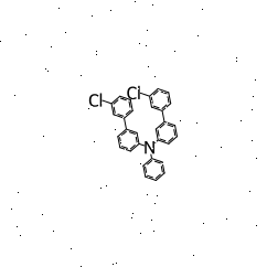 Clc1cccc(-c2cccc(N(c3ccccc3)c3cccc(-c4cccc(Cl)c4)c3)c2)c1